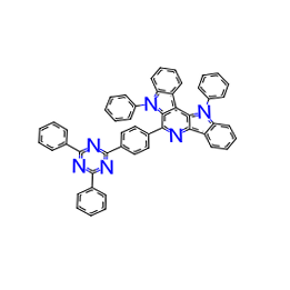 c1ccc(-c2nc(-c3ccccc3)nc(-c3ccc(-c4nc5c6ccccc6n(-c6ccccc6)c5c5c6ccccc6n(-c6ccccc6)c45)cc3)n2)cc1